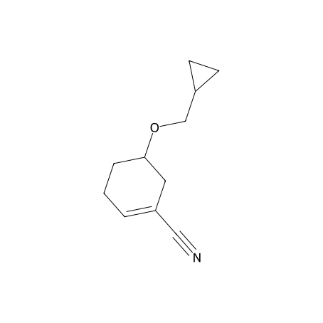 N#CC1=CCCC(OCC2CC2)C1